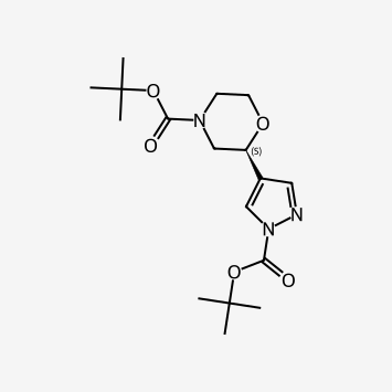 CC(C)(C)OC(=O)N1CCO[C@@H](c2cnn(C(=O)OC(C)(C)C)c2)C1